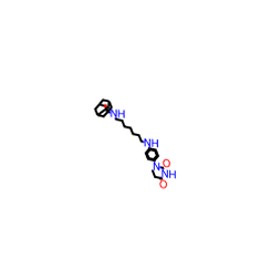 O=C1CCN(c2ccc(NCCCCCCCNC34CC5CC(CC(C5)C3)C4)cc2)C(=O)N1